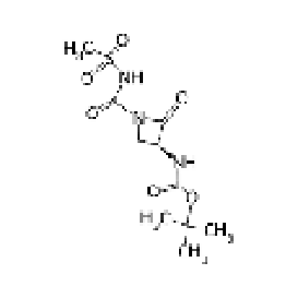 CC(C)(C)OC(=O)N[C@H]1CN(C(=O)NS(C)(=O)=O)C1=O